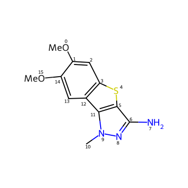 COc1cc2sc3c(N)nn(C)c3c2cc1OC